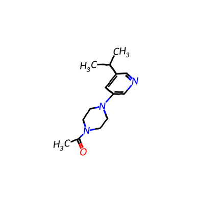 CC(=O)N1CCN(c2cncc(C(C)C)c2)CC1